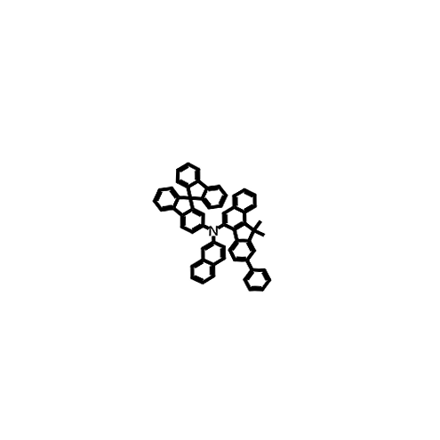 CC1(C)c2cc(-c3ccccc3)ccc2-c2c(N(c3ccc4c(c3)C3(c5ccccc5-c5ccccc53)c3ccccc3-4)c3ccc4ccccc4c3)cc3ccccc3c21